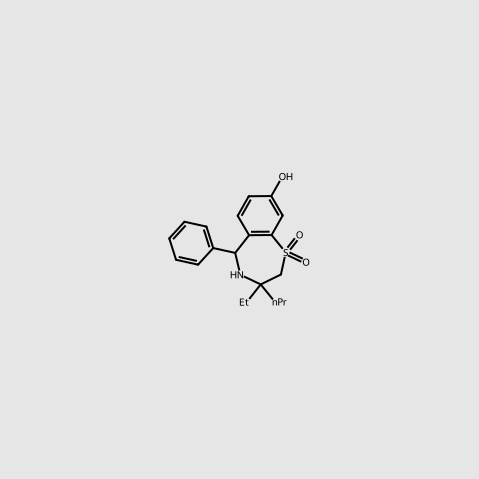 CCCC1(CC)CS(=O)(=O)c2cc(O)ccc2C(c2ccccc2)N1